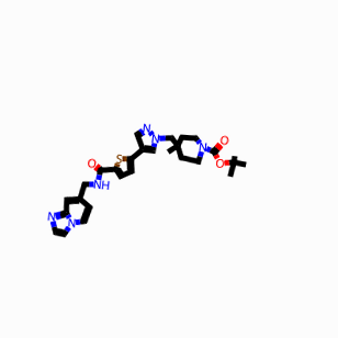 CC1(Cn2cc(-c3ccc(C(=O)NCc4ccn5ccnc5c4)s3)cn2)CCN(C(=O)OC(C)(C)C)CC1